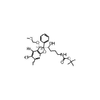 COCO[C@H]1c2c(cc(F)c(Cl)c2Br)O[C@@]1(c1ccccc1)C(O)CCCNC(=O)OC(C)(C)C